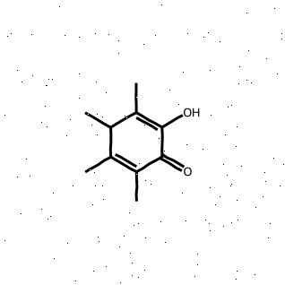 CC1=C(C)C(C)C(C)=C(O)C1=O